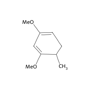 COC1=CCC(C)C(OC)=C1